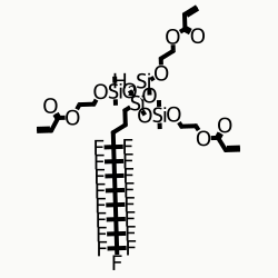 C=CC(=O)OCCO[SiH2]O[Si](CCCC(F)(F)C(F)(F)C(F)(F)C(F)(F)C(F)(F)C(F)(F)C(F)(F)C(F)(F)F)(O[Si](C)(C)OCCOC(=O)C=C)O[Si](C)(C)OCCOC(=O)C=C